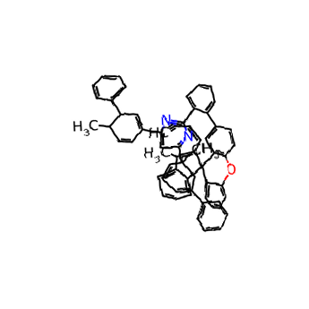 C#C/C=C\C1=C(C)c2ccccc2C12c1ccccc1Oc1ccc(-c3ccccc3-c3nc(C4=CC(c5ccccc5)C(C)C=C4)cc(C4(C)C=CC=C(c5ccccc5)C4)n3)cc12